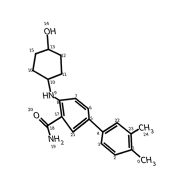 Cc1ccc(-c2ccc(NC3CCC(O)CC3)c(C(N)=O)c2)cc1C